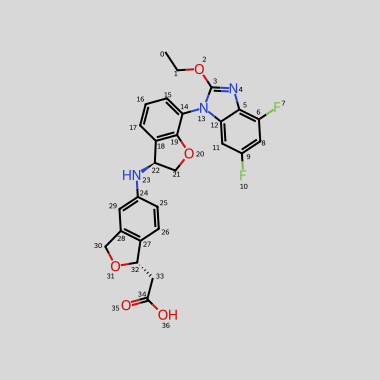 CCOc1nc2c(F)cc(F)cc2n1-c1cccc2c1OC[C@H]2Nc1ccc2c(c1)CO[C@H]2CC(=O)O